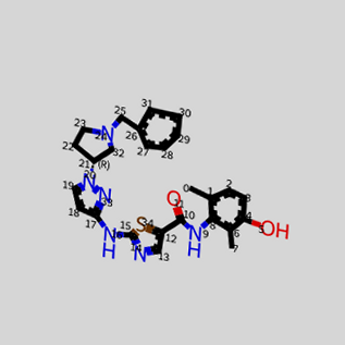 Cc1ccc(O)c(C)c1NC(=O)c1cnc(Nc2ccn([C@@H]3CCN(Cc4ccccc4)C3)n2)s1